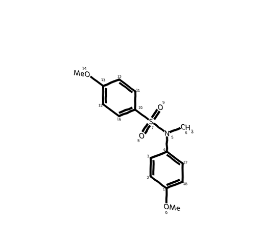 COc1ccc(N(C)S(=O)(=O)c2ccc(OC)cc2)cc1